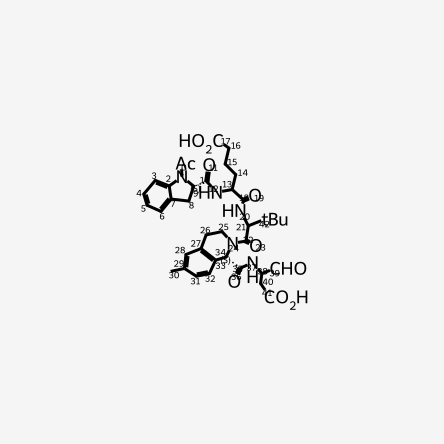 CC(=O)N1c2ccccc2C[C@H]1C(=O)NC(CCCC(=O)O)C(=O)NC(C(=O)N1CCc2cc(C)ccc2[C@H]1C(=O)NC(C=O)CC(=O)O)C(C)(C)C